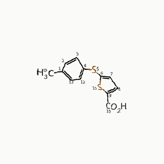 Cc1ccc(Sc2ccc(C(=O)O)s2)cc1